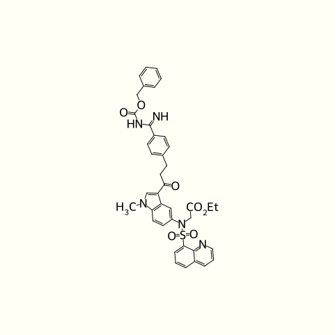 CCOC(=O)CN(c1ccc2c(c1)c(C(=O)CCc1ccc(C(=N)NC(=O)OCc3ccccc3)cc1)cn2C)S(=O)(=O)c1cccc2cccnc12